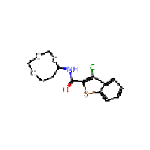 O=C(NC1CCCCCCC1)c1sc2ccccc2c1Cl